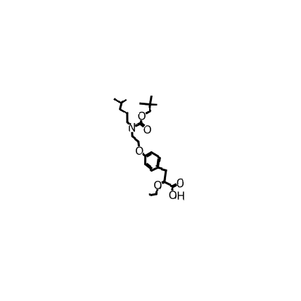 CCOC(Cc1ccc(OCCN(CCCC(C)C)C(=O)OCC(C)(C)C)cc1)C(=O)O